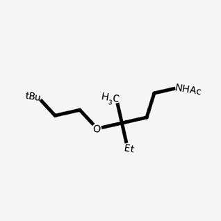 CCC(C)(CCNC(C)=O)OCCC(C)(C)C